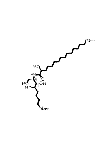 CCCCCCCCCCCCCCCCCCCCCCCC(O)C(=O)N[C@H](CO)[C@H](O)C(O)CCCCCCCCCCCCCC